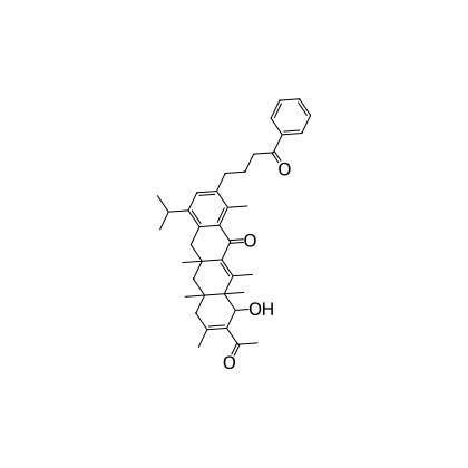 CC(=O)C1=C(C)CC2(C)CC3(C)Cc4c(C(C)C)cc(CCCC(=O)c5ccccc5)c(C)c4C(=O)C3=C(C)C2(C)C1O